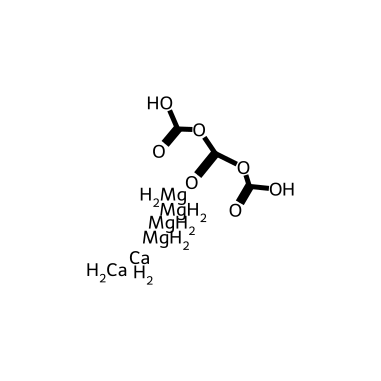 O=C(O)OC(=O)OC(=O)O.[CaH2].[CaH2].[MgH2].[MgH2].[MgH2].[MgH2]